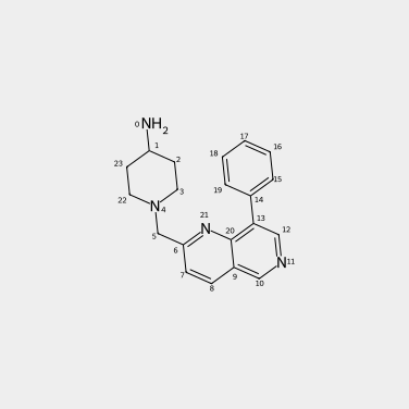 NC1CCN(Cc2ccc3cncc(-c4ccccc4)c3n2)CC1